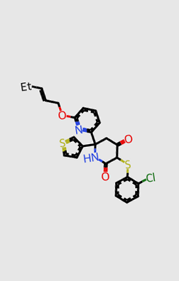 CCC=CCOc1cccc(C2(c3ccsc3)CC(=O)C(Sc3ccccc3Cl)C(=O)N2)n1